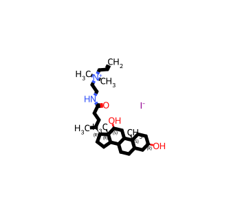 C=CC[N+](C)(C)CCNC(=O)CCC(C)[C@H]1CCC2C3CCC4C[C@H](O)CC[C@]4(C)C3C[C@H](O)[C@@]21C.[I-]